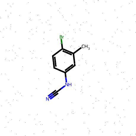 Cc1cc(NC#N)ccc1Br